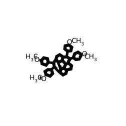 COc1ccc(-c2c(-c3ccc(OC)cc3)c3ccc4c(-c5ccc(OC)cc5)c(-c5ccc(OC)cc5)c5ccc6ccc2c2c6c5c4c32)cc1